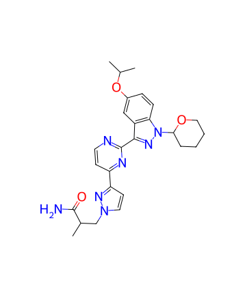 CC(C)Oc1ccc2c(c1)c(-c1nccc(-c3ccn(CC(C)C(N)=O)n3)n1)nn2C1CCCCO1